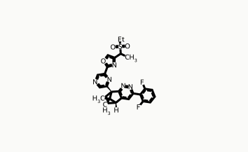 CCS(=O)(=O)C(C)c1coc(-c2cncc([C@@]34CC[C@@H](c5cc(-c6c(F)cccc6F)nnc53)C4(C)C)n2)n1